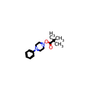 CC(C)(C)C(=O)ON1CCN(c2ccccc2)CC1